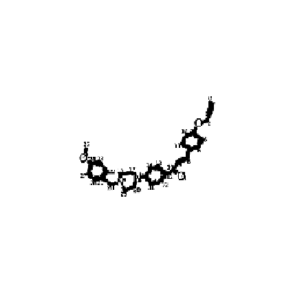 C#CCOc1ccc(C=CC(=O)c2ccc(N3CCN(Cc4ccc(OC)cc4)CC3)cc2)cc1